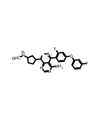 C/N=C(/c1ccc(Oc2cccc(F)c2)cc1F)c1c(N)ncnc1C(C)C1CCC(NC=O)C1